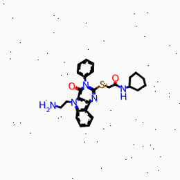 NCCn1c2ccccc2c2nc(SCC(=O)NC3CCCCC3)n(-c3ccccc3)c(=O)c21